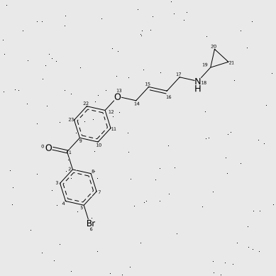 O=C(c1ccc(Br)cc1)c1ccc(OC/C=C/CNC2CC2)cc1